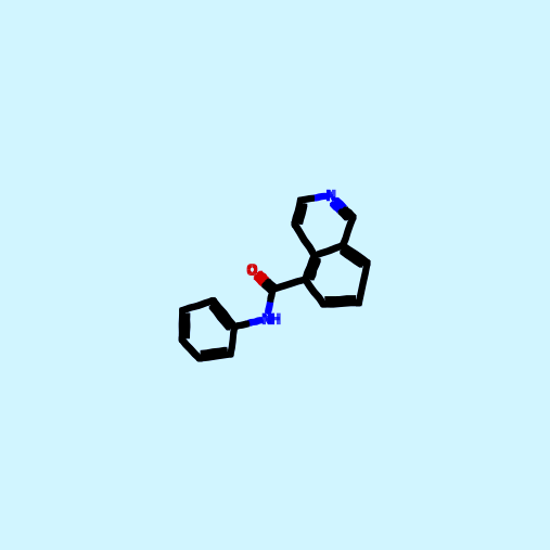 O=C(Nc1ccccc1)c1cccc2cnccc12